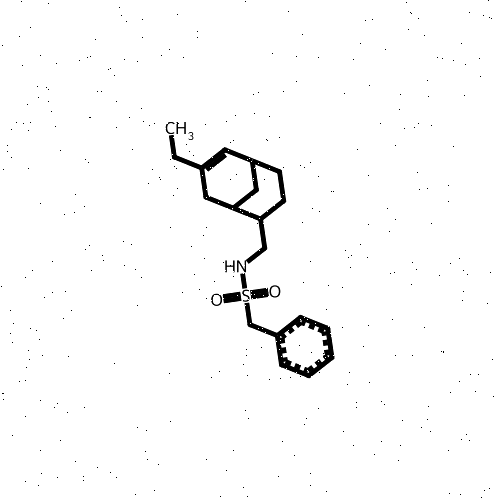 CCC1=CC2CCC(CNS(=O)(=O)Cc3ccccc3)C(C1)C2